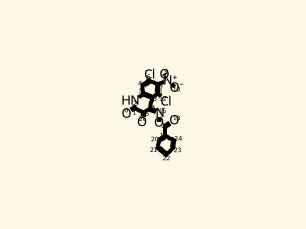 O=C1Nc2cc(Cl)c([N+](=O)[O-])c(Cl)c2C(=NOC(=O)c2ccccc2)C1=O